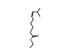 CCOC(=O)CCCC/C=C\C(C)C